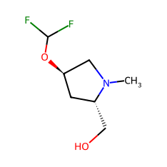 CN1C[C@H](OC(F)F)C[C@H]1CO